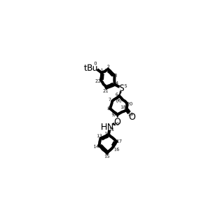 CC(C)(C)c1ccc(S[C@@H]2CC[C@@H](ONc3ccccc3)C(=O)C2)cc1